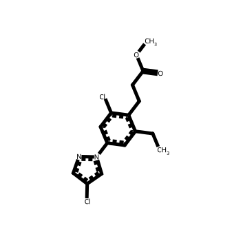 CCc1cc(-n2cc(Cl)cn2)cc(Cl)c1CCC(=O)OC